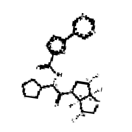 O=C(N[C@H](C(=O)N1C[C@H](Cl)[C@H]2OC[C@H](O)[C@H]21)C1CCCC1)c1ccc(-c2cncnc2)s1